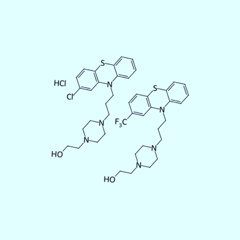 Cl.OCCN1CCN(CCCN2c3ccccc3Sc3ccc(C(F)(F)F)cc32)CC1.OCCN1CCN(CCCN2c3ccccc3Sc3ccc(Cl)cc32)CC1